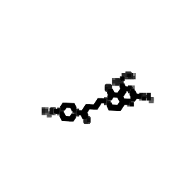 CCCCNc1nc(N)nc2ccn(CCCC(=O)N3CCN(C)CC3)c(=O)c12